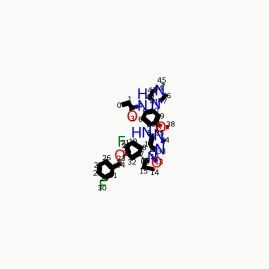 C=CC(=O)Nc1cc(Nc2cc(N3OCC[C@@H]3c3ccc(F)c(OCc4cccc(F)c4)c3)ncn2)c(OC)cc1N1CCN(C)CC1